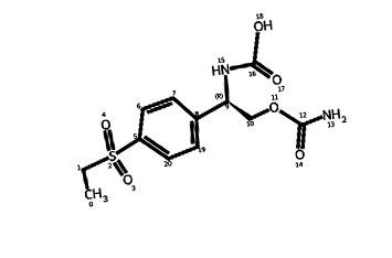 CCS(=O)(=O)c1ccc([C@H](COC(N)=O)NC(=O)O)cc1